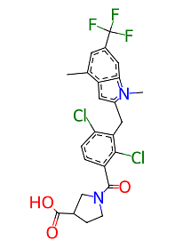 Cc1cc(C(F)(F)F)cc2c1cc(Cc1c(Cl)ccc(C(=O)N3CCC(C(=O)O)C3)c1Cl)n2C